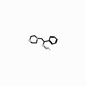 NOC(CN1CCOCC1)c1ccccc1